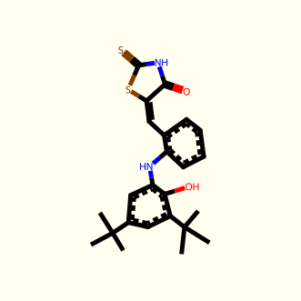 CC(C)(C)c1cc(Nc2ccccc2C=C2SC(=S)NC2=O)c(O)c(C(C)(C)C)c1